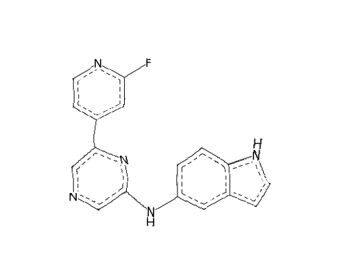 Fc1cc(-c2cncc(Nc3ccc4[nH]ccc4c3)n2)ccn1